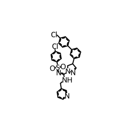 O=S(=O)(N=C(NCc1cccnc1)N1CC(c2cccc(-c3ccc(Cl)cc3)c2)C=N1)c1ccc(Cl)cc1